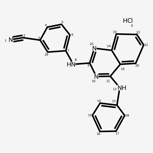 Cl.N#Cc1cccc(Nc2nc(Nc3ccccc3)c3ccccc3n2)c1